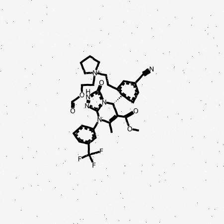 COC(=O)C1=C(C)N(c2cccc(C(F)(F)F)c2)c2n[nH]c(=O)n2[C@@H]1c1ccc(C#N)cc1CC[N+]1(CCOC=O)CCCC1